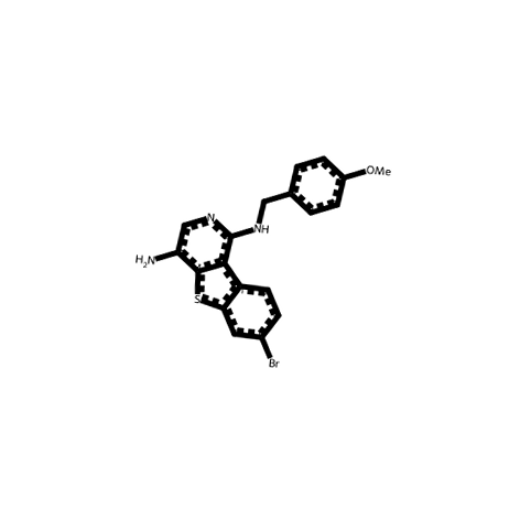 COc1ccc(CNc2ncc(N)c3sc4cc(Br)ccc4c23)cc1